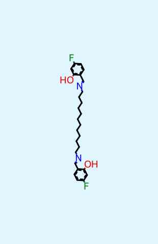 Oc1cc(F)ccc1/C=N/CCCCCCCCCCCC/N=C/c1ccc(F)cc1O